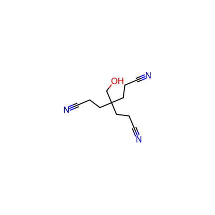 N#CCCC(CO)(CCC#N)CCC#N